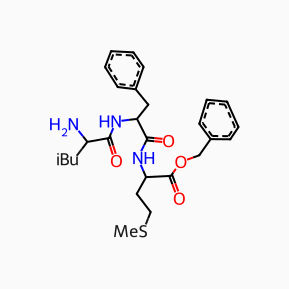 CCC(C)C(N)C(=O)NC(Cc1ccccc1)C(=O)NC(CCSC)C(=O)OCc1ccccc1